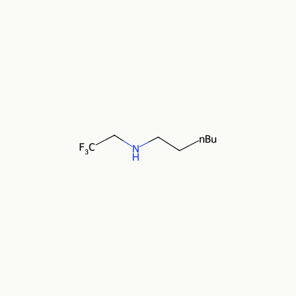 CCCCCCNCC(F)(F)F